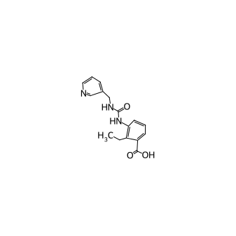 CCc1c(NC(=O)NCc2cccnc2)cccc1C(=O)O